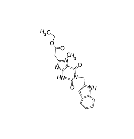 CCOC(=O)Cc1nc2[nH]c(=O)n(Cc3cc4ccccc4[nH]3)c(=O)c2n1C